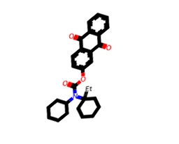 CCC1(N(C(=O)Oc2ccc3c(c2)C(=O)c2ccccc2C3=O)C2CCCCC2)CCCCC1